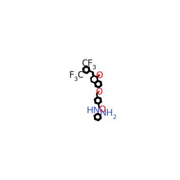 Nc1ccccc1NC(=O)c1ccc(COc2ccc3c(c2)CC/C(=C\c2cc(C(F)(F)F)cc(C(F)(F)F)c2)C3=O)cc1